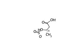 C[C@@H](CC(=O)O)O[SH](=O)=O